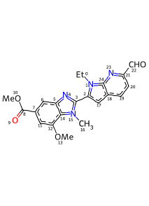 CCn1c(-c2nc3cc(C(=O)OC)cc(OC)c3n2C)cc2ccc(C=O)nc21